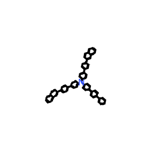 c1ccc(-c2ccc(-c3ccc(N(c4ccc(-c5ccc(-c6ccc7ccccc7c6)cc5)cc4)c4ccc(-c5ccc(-c6ccc7ccccc7c6)cc5)cc4)cc3)cc2)cc1